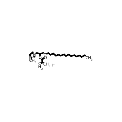 C=C(C)C(=O)OC(COCCCCCCCCCCCCCCCC)Cn1cc[n+](C)c1.[I-]